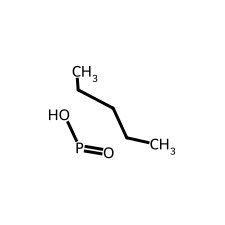 CCCCC.O=PO